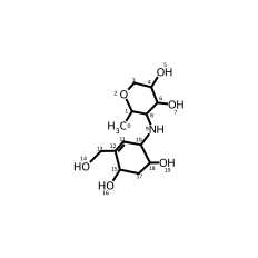 CC1OCC(O)C(O)C1NC1C=C(CO)C(O)CC1O